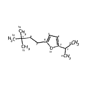 CC(C)c1ccc(CCC(C)(C)C)o1